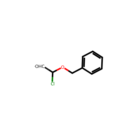 O=[C]C(Cl)OCc1ccccc1